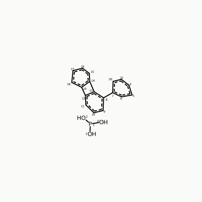 OP(O)O.c1ccc(-c2cccc3c2-c2ccccc2-3)cc1